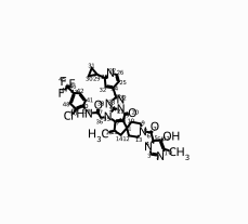 Cc1ncnc(C(=O)N2CCC3(CC2)CC(C)c2c3c(=O)n3nc(-c4ccnc(C5CC5)c4)nc3n2CC(=O)Nc2ccc(C(F)(F)F)cc2Cl)c1O